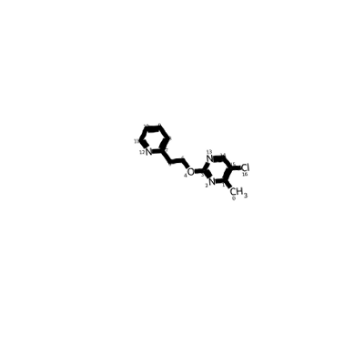 Cc1nc(OCCc2ccccn2)ncc1Cl